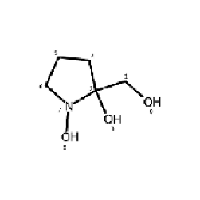 OCC1(O)CCCN1O